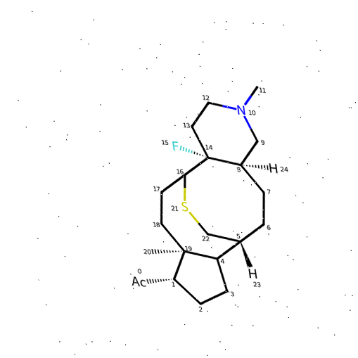 CC(=O)[C@H]1CCC2[C@H]3CC[C@@H]4CN(C)CC[C@]4(F)C(CC[C@@]21C)SC3